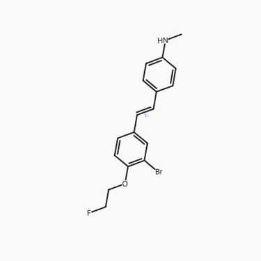 CNc1ccc(/C=C/c2ccc(OCCF)c(Br)c2)cc1